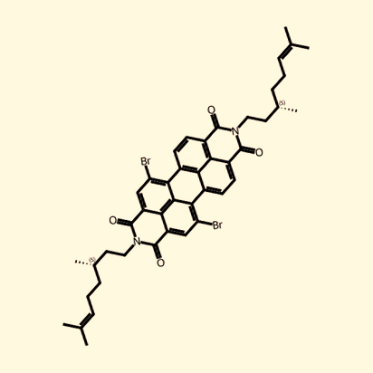 CC(C)=CCC[C@H](C)CCN1C(=O)c2ccc3c4c(Br)cc5c6c(cc(Br)c(c7ccc(c2c37)C1=O)c64)C(=O)N(CC[C@@H](C)CCC=C(C)C)C5=O